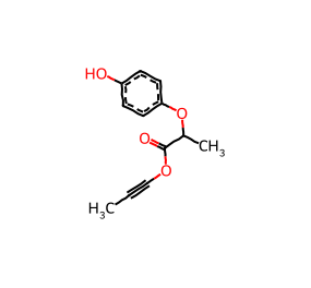 CC#COC(=O)C(C)Oc1ccc(O)cc1